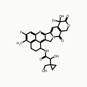 CCC1(O)C(=O)OCc2c1cc1n(c2=O)Cc2c-1nc1cc(F)c(C)c3c1c2C(NC(=O)C(O)C1(CO)CC1)CC3